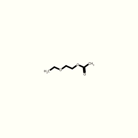 [CH2]COCCOC(C)=O